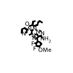 C\C=C/C=c1/nc(C(C)n2nc(-c3ccc(OC)c(F)c3F)c3c(N)ncnc32)n(-c2cccnc2)c(=O)/c1=C/C